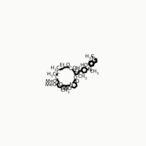 CCC1/C=C(\C)CC(C)CC(OC)C2OC(O)(C(=O)C(=O)N3CCCCC3C(=O)OC(C(C)=CC3CCC(N(C)c4ccc5c(ccn5C)c4)C(O)C3)C(C)C(O)CC1=O)C(C)CC2OC